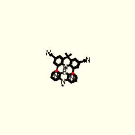 CN1c2ccccc2B(N2c3c(C#N)cc(C#N)cc3C(C)(C)c3cc(C#N)cc(C#N)c32)c2ccccc21